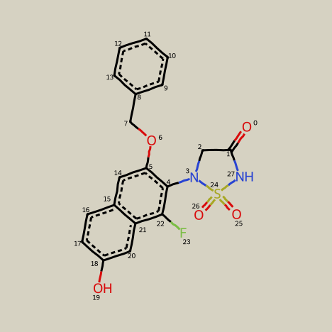 O=C1CN(c2c(OCc3ccccc3)cc3ccc(O)cc3c2F)S(=O)(=O)N1